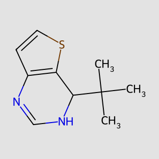 CC(C)(C)C1NC=Nc2ccsc21